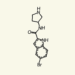 O=C(NC1CCNC1)c1cc2cc(Br)ccc2[nH]1